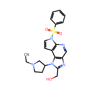 N#CCN1CCC(n2c(CO)nc3cnc4c(ccn4S(=O)(=O)c4ccccc4)c32)C1